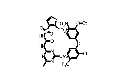 CCOc1cc(Oc2ccc(C(F)(F)F)cc2Cl)ccc1[N+](=O)[O-].COc1nc(C)nc(NC(=O)NS(=O)(=O)c2ccsc2C(=O)O)n1